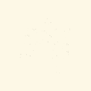 CCn1c2c(-c3ccc(-c4ccc(C(C)(C)C)cc4)c4nsnc34)cc(C(C)(C)C)cc2c2cc(C(C)(C)C)cc(-c3ccc(-c4ccc(C(C)(C)C)cc4)c4nsnc34)c21